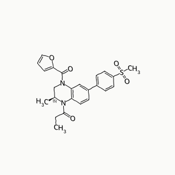 CCC(=O)N1c2ccc(-c3ccc(S(C)(=O)=O)cc3)cc2N(C(=O)c2ccco2)C[C@@H]1C